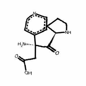 N[C@@](CC(=O)O)(C(=O)[C@H]1CCCN1)c1ccncc1